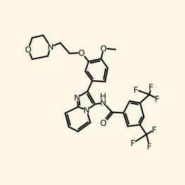 COc1ccc(-c2nc3ccccn3c2NC(=O)c2cc(C(F)(F)F)cc(C(F)(F)F)c2)cc1OCCN1CCOCC1